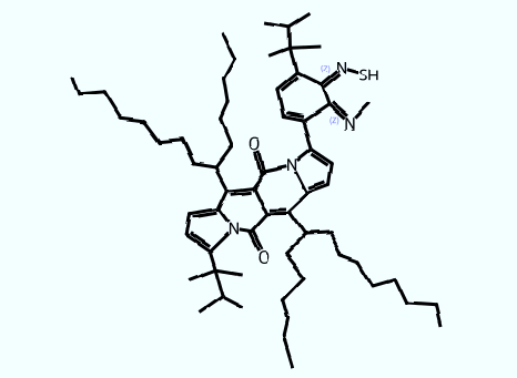 CCCCCCCCC(CCCCCC)c1c2c(=O)n3c(C(C)(C)C(C)C)ccc3c(C(CCCCCC)CCCCCCCC)c2c(=O)n2c(C3=CC=C(C(C)(C)C(C)C)C(=N/S)/C3=N\C)ccc12